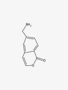 BCc1ccc2c(=O)occc2c1